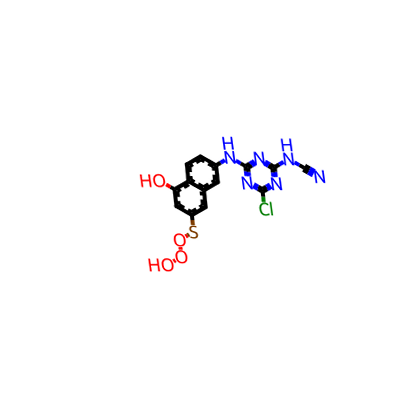 N#CNc1nc(Cl)nc(Nc2ccc3c(O)cc(SOOO)cc3c2)n1